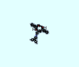 Cc1ccc(N(c2ccc(C)cc2)c2ccc(/C=C/c3ccc(-c4c5nc(c(-c6ccc(-c7ccccn7)nc6)c6ccc(cc7nc(c(-c8ccc(-c9ccccn9)nc8)c8ccc4[nH]8)C=C7)[nH]6)C=C5)cc3)cc2)cc1